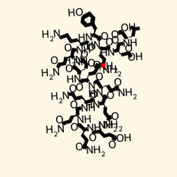 CC(C)C[C@H](NC(=O)[C@H](CC(=O)O)NC(=O)[C@H](CCC(N)=O)NC(=O)[C@H](Cc1ccc(O)cc1)NC(=O)[C@H](CCCCN)NC(=O)[C@H](CCC(N)=O)NC(=O)[C@H](CCC(N)=O)NC(=O)[C@H](CCC(N)=O)NC(=O)[C@H](CCC(N)=O)NC(=O)[C@H](CCC(N)=O)NC(=O)[C@H](CCC(N)=O)NC(=O)[C@H](CCC(N)=O)NC(=O)[C@H](CCC(N)=O)NC(=O)[C@@H](N)CCC(=O)O)C(=O)O